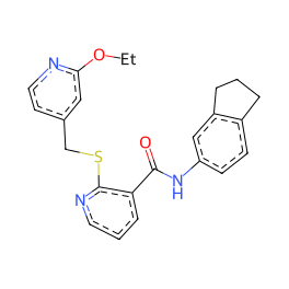 CCOc1cc(CSc2ncccc2C(=O)Nc2ccc3c(c2)CCC3)ccn1